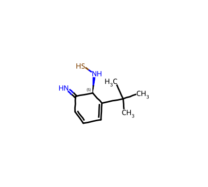 CC(C)(C)C1=CC=CC(=N)[C@H]1NS